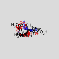 COc1c(N2CCC(N3CCN(/N=C/c4c5c(O)c6c(O)c(C)c7c(c6c4O)C(=O)[C@@](C)(O/C=C/[C@H](OC)[C@@H](C)[C@@H](OC(C)=O)[C@H](C)[C@H](O)[C@H](C)[C@@H](O)[C@@H](C)/C=C/C=C(/C)C(=O)N5)O7)CC3)CC2)c(F)cc2c(=O)c(C(=O)O)cn(C3CC3)c12